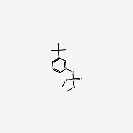 COP(=O)(OC)Oc1cccc(C(C)(C)C)c1